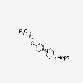 CCCCCCCC1CCN(c2ccc(OCC=CC(F)(F)F)cc2)CC1